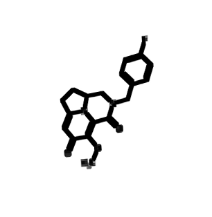 COc1c2n3c(cc1=O)CCC3CN(Cc1ccc(F)cc1)C2=O